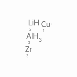 [AlH3].[Cu].[LiH].[Zr]